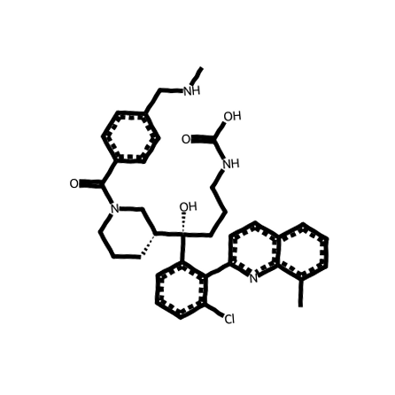 CNCc1ccc(C(=O)N2CCC[C@@H]([C@@](O)(CCCNC(=O)O)c3cccc(Cl)c3-c3ccc4cccc(C)c4n3)C2)cc1